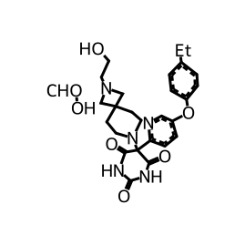 CCc1ccc(Oc2ccc(C3(N4CCC5(CC4)CN(CCO)C5)C(=O)NC(=O)NC3=O)nc2)cc1.O=CO